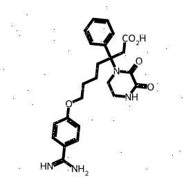 N=C(N)c1ccc(OCCCCC(CC(=O)O)(c2ccccc2)N2CCNC(=O)C2=O)cc1